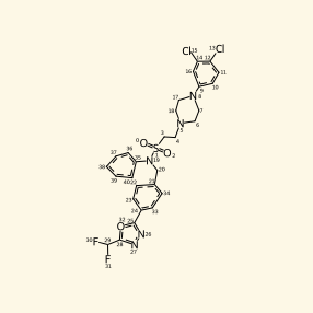 O=S(=O)(CCN1CCN(c2ccc(Cl)c(Cl)c2)CC1)N(Cc1ccc(-c2nnc(C(F)F)o2)cc1)c1ccccc1